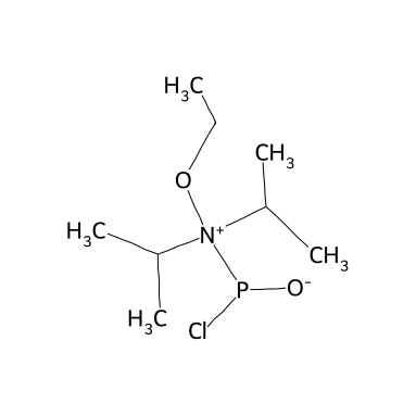 CCO[N+](C(C)C)(C(C)C)P([O-])Cl